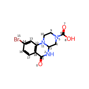 O=C1NC2CN(C(=O)O)CCN2c2cc(Br)ccc21